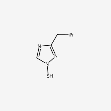 CC(C)Cc1ncn(S)n1